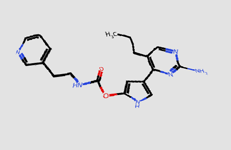 CCCc1cnc(N)nc1-c1c[nH]c(OC(=O)NCCc2cccnc2)c1